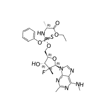 CCOC(=O)[C@@H](C)N[P@](=S)(OC[C@H]1O[C@@H](n2cnc3c(NC)nc(C)nc32)[C@](C)(F)[C@@H]1O)Oc1ccccc1